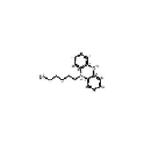 BrCCCCCN1c2ccccc2Sc2ccccc21